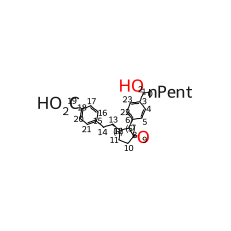 CCCCCC(O)c1ccc([C@H]2C(=O)CC[C@H]2CCc2ccc(C(=O)O)cc2)cc1